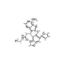 CC(C)CNC(=O)CCn1c(Sc2cc3c(cc2-c2ccco2)OCO3)nc2c(N)ncnc21